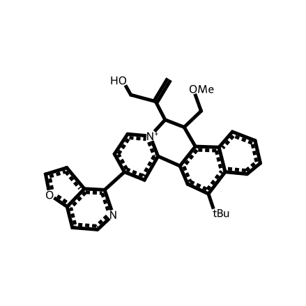 C=C(CO)C1C(COC)c2c(cc(C(C)(C)C)c3ccccc23)-c2cc(-c3nccc4occc34)cc[n+]21